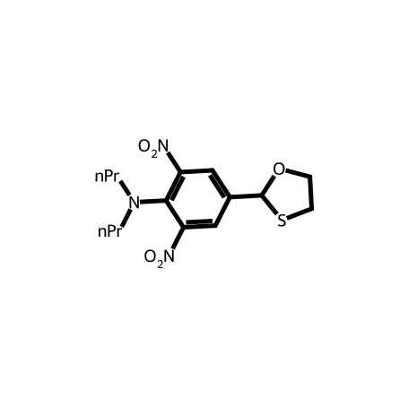 CCCN(CCC)c1c([N+](=O)[O-])cc(C2OCCS2)cc1[N+](=O)[O-]